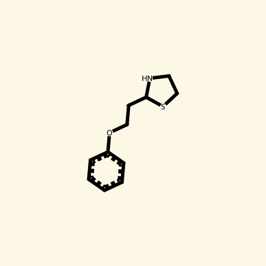 [CH](COc1ccccc1)C1NCCS1